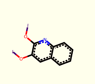 IOc1cc2ccccc2nc1OI